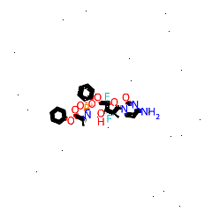 C[C@H](N=[P+]([O-])OC1(OC[C@@]2(F)O[C@@H](n3ccc(N)nc3=O)[C@](C)(F)[C@@H]2O)C=CC=CC1)C(=O)OC1CCCCC1